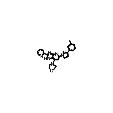 Cc1cccc(-c2ccn(-c3cc(N4CCOCC4)c4[nH]c(-c5ccccn5)nc4n3)n2)c1